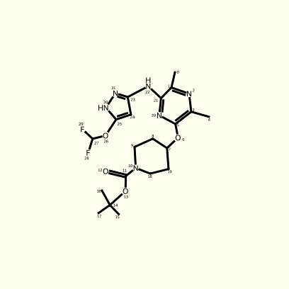 Cc1nc(C)c(OC2CCN(C(=O)OC(C)(C)C)CC2)nc1Nc1cc(OC(F)F)[nH]n1